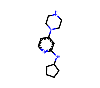 c1cc(N2CCNCC2)cc(NC2CCCC2)n1